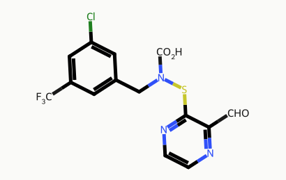 O=Cc1nccnc1SN(Cc1cc(Cl)cc(C(F)(F)F)c1)C(=O)O